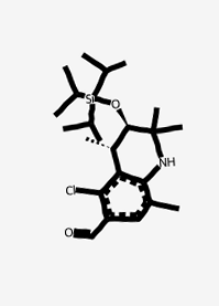 Cc1cc(C=O)c(Cl)c2c1NC(C)(C)[C@H](O[Si](C(C)C)(C(C)C)C(C)C)[C@H]2C